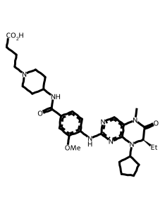 CC[C@@H]1C(=O)N(C)c2cnc(Nc3ccc(C(=O)NC4CCN(CCCC(=O)O)CC4)cc3OC)nc2N1C1CCCC1